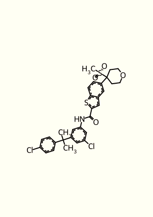 CC(C)(c1ccc(Cl)cc1)c1cc(Cl)cc(NC(=O)c2cc3cc(C4(S(C)(=O)=O)CCOCC4)ccc3s2)c1